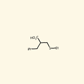 CCSCC(CC(C)C)C(=O)O